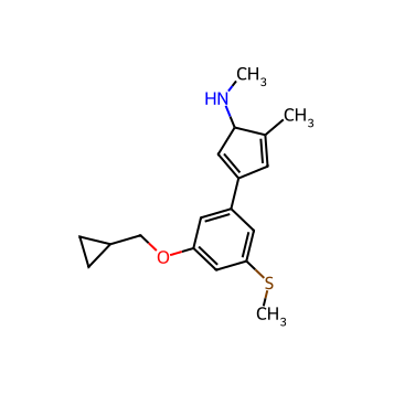 CNC1C=C(c2cc(OCC3CC3)cc(SC)c2)C=C1C